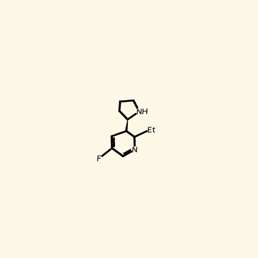 CCC1N=CC(F)=CC1[C@H]1CCCN1